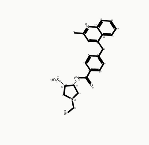 Cc1cc(Cc2ccc(C(=O)N[C@@H]3CN(CC(C)C)C[C@@H]3C(=O)O)cc2)c2ccccc2n1